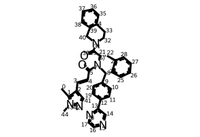 Cc1c(C=CC(=O)N(Cc2ccc(-c3cnccn3)cc2)[C@@H](Cc2ccccc2)C(=O)N2CCc3ccccc3C2)cnn1C